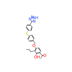 CCCc1c(OCc2ccc(Sc3ccc(-c4nn[nH]n4)cc3)cc2)ccc(C(C)=O)c1O